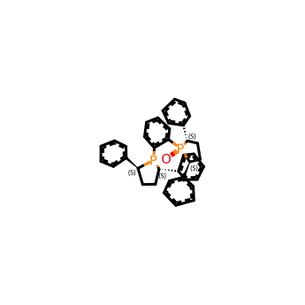 O=P1(c2ccccc2P2[C@H](c3ccccc3)CC[C@H]2c2ccccc2)[C@H](c2ccccc2)CC[C@H]1c1ccccc1